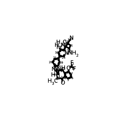 CN1C(=O)c2cccc(OC(F)F)c2[C@H]2C[C@@H]1c1nc3ccc(-c4cnc(C5(N)C(N)CC5(C)C#N)c(F)c4)cc3n12